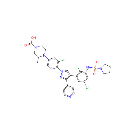 CC1CN(C(=O)O)CCN1c1ccc(-n2cc(-c3cc(Cl)cc(NS(=O)(=O)N4CCCC4)c3F)c(-c3ccncc3)n2)c(F)c1